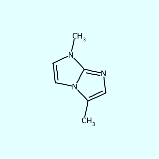 Cc1cnc2n(C)ccn12